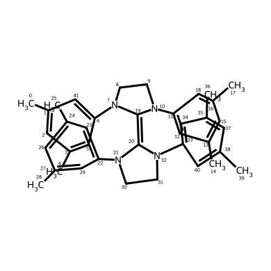 Cc1cc(C)cc(N2CCN(c3cc(C)cc(C)c3)C2=C2N(c3cc(C)cc(C)c3)CCN2c2cc(C)cc(C)c2)c1